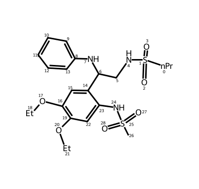 CCCS(=O)(=O)NCC(Nc1cc[c]cc1)c1cc(OCC)c(OCC)cc1NS(C)(=O)=O